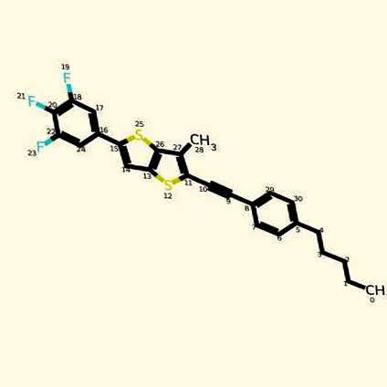 CCCCCc1ccc(C#Cc2sc3cc(-c4cc(F)c(F)c(F)c4)sc3c2C)cc1